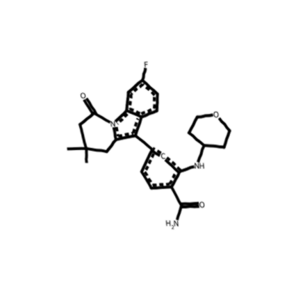 CC1(C)CC(=O)n2c(c(-c3ccc(C(N)=O)c(NC4CCOCC4)c3)c3ccc(F)cc32)C1